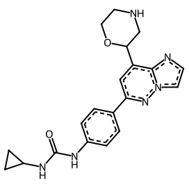 O=C(Nc1ccc(-c2cc(C3CNCCO3)c3nccn3n2)cc1)NC1CC1